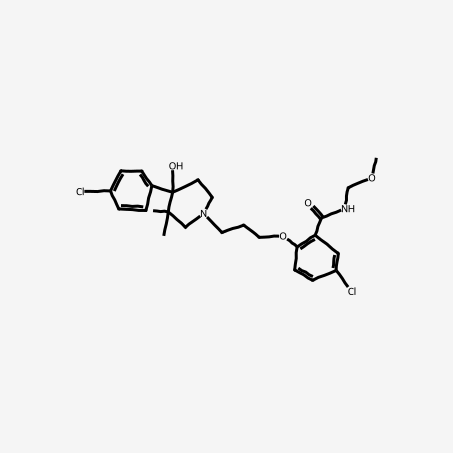 COCNC(=O)c1cc(Cl)ccc1OCCCN1CCC(O)(c2ccc(Cl)cc2)C(C)(C)C1